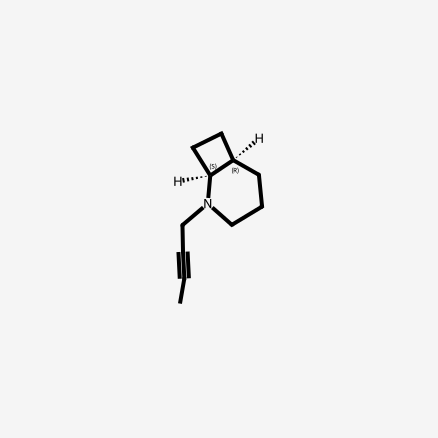 CC#CCN1CCC[C@@H]2CC[C@@H]21